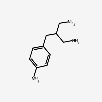 NCC(CN)Cc1ccc(N)cc1